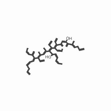 C=CC\C=C/C=C(C(=C)/C=C\C)/C(C=C)=C(C)/C=C(C)/C(=C(\C=C)C(/C=C\C)=C(C=C)C(=C)/C=C(/O)C(=C)/C(C)=C/CC=C)C(O)/C=C\C=C/C